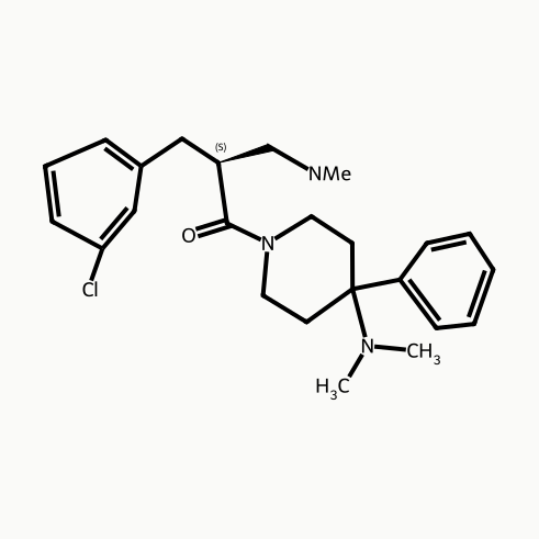 CNC[C@H](Cc1cccc(Cl)c1)C(=O)N1CCC(c2ccccc2)(N(C)C)CC1